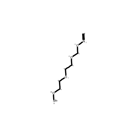 C=NOCOCCOCCOCCC